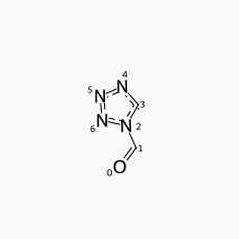 O=Cn1[c]nnn1